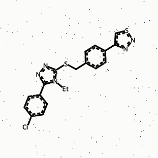 CCn1c(SCc2ccc(-c3csnn3)cc2)nnc1-c1ccc(Cl)cc1